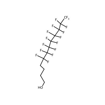 OCCCCC(F)(F)C(F)(F)C(F)(F)C(F)(F)C(F)(F)C(F)(F)C(F)(F)C(F)(F)F